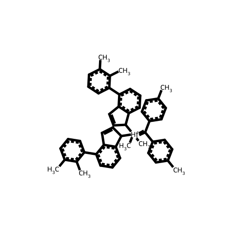 Cc1ccc([C](c2ccc(C)cc2)=[Hf]([CH3])([CH3])([CH]2C=Cc3c(-c4cccc(C)c4C)cccc32)[CH]2C=Cc3c(-c4cccc(C)c4C)cccc32)cc1